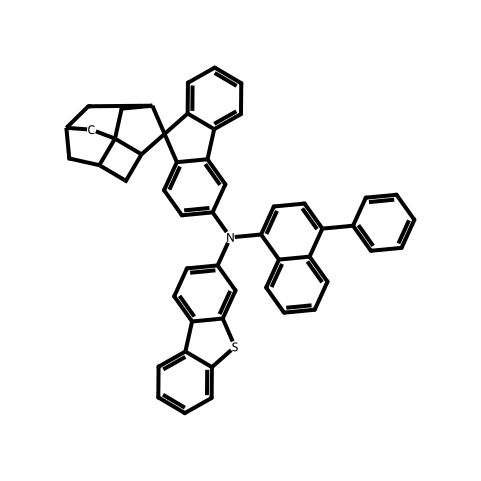 c1ccc(-c2ccc(N(c3ccc4c(c3)-c3ccccc3C43C4CC5CC6CC3C6(C5)C4)c3ccc4c(c3)sc3ccccc34)c3ccccc23)cc1